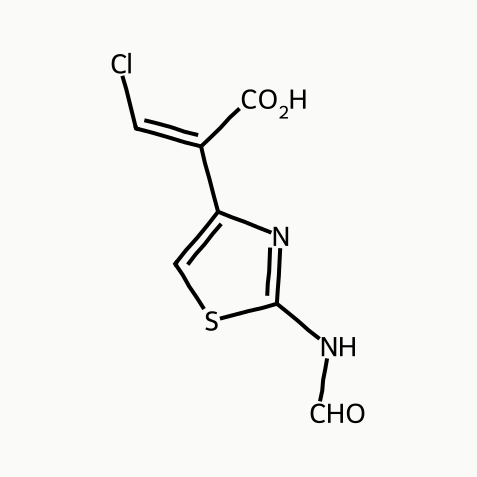 O=CNc1nc(C(=CCl)C(=O)O)cs1